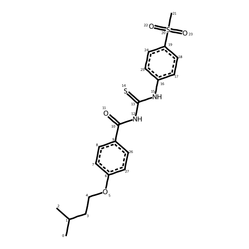 CC(C)CCOc1ccc(C(=O)NC(=S)Nc2ccc(S(C)(=O)=O)cc2)cc1